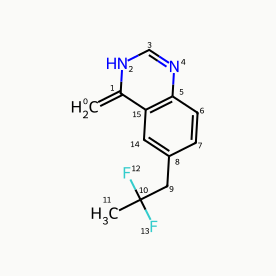 C=C1NC=Nc2ccc(CC(C)(F)F)cc21